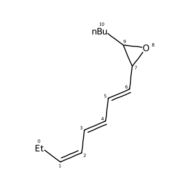 CC\C=C/C=C/C=C/C1OC1CCCC